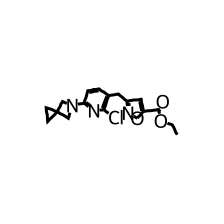 CCOC(=O)c1cc(Cc2ccc(N3CC4(CC4)C3)nc2Cl)no1